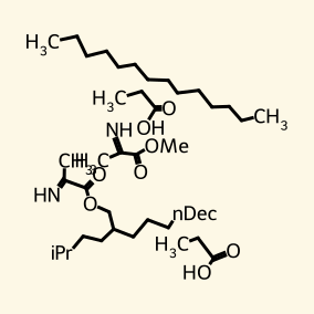 CCC(=O)O.CCC(=O)O.CCCCCCCCCCCCCC.CCCCCCCCCCCCCC(CCC(C)C)COC(=O)C(C)=N.COC(=O)C(C)=N